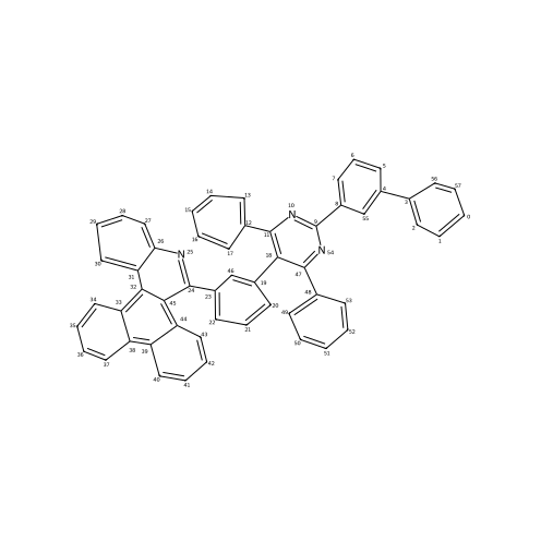 c1ccc(-c2cccc(-c3nc(-c4ccccc4)c(-c4cccc(-c5nc6ccccc6c6c7ccccc7c7ccccc7c56)c4)c(-c4ccccc4)n3)c2)cc1